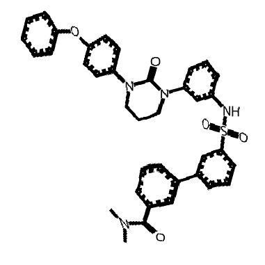 CN(C)C(=O)c1cccc(-c2cccc(S(=O)(=O)Nc3cccc(N4CCCN(c5ccc(Oc6ccccc6)cc5)C4=O)c3)c2)c1